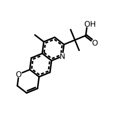 Cc1cc(C(C)(C)C(=O)O)nc2cc3c(cc12)OCC=C3